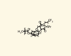 CCCOC(=O)C1OC2(OCC1C(=O)OCCC(F)(F)F)C1CC3CC2CC(OC(=O)C(C)(F)F)(C3)C1